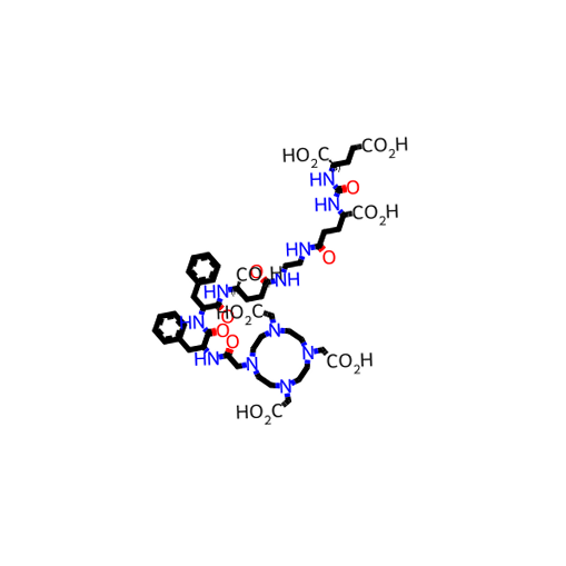 O=C(O)CC[C@H](NC(=O)NC(CCC(=O)NCCNC(=O)CC[C@@H](NC(=O)C(Cc1ccccc1)NC(=O)C(Cc1ccccc1)NC(=O)CN1CCN(CC(=O)O)CCN(CC(=O)O)CCN(CC(=O)O)CC1)C(=O)O)C(=O)O)C(=O)O